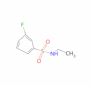 CCNS(=O)(=O)c1cccc(F)c1